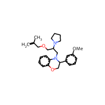 C=C(C)COCC(CN1c2ccccc2OCC1c1cccc(OC)c1)N1CCCC1